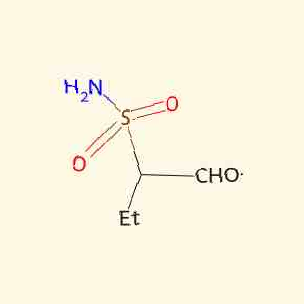 CCC([C]=O)S(N)(=O)=O